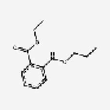 CCCONc1ccccc1C(=O)OCC